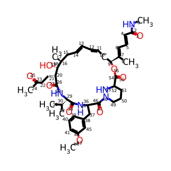 CNC(=O)/C=C/C=C(\C)[C@@H]1C/C=C/C=C/C[C@H](C)[C@@H](O)[C@@H](CCC(C)=O)C(=O)N[C@@H](C(C)C)C(=O)NC(Cc2cccc(OC)c2)C(=O)N2CCCC(N2)C(=O)O1